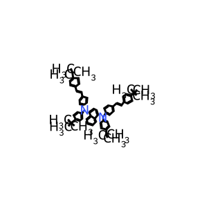 CC(C)(C)c1ccc(/C=C/c2ccc(N(c3ccc(C(C)(C)C)cc3)c3ccc(N(c4ccc(/C=C/c5ccc(C(C)(C)C)cc5)cc4)c4ccc(C(C)(C)C)cc4)c4ccccc34)cc2)cc1